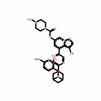 C=C(/C=N\C(=C/C)N1CC2CC(C1)N2Cc1ccc(OC)nc1)c1cc(OC(=O)N2CCN(C)CC2)cn2ncc(C#N)c12